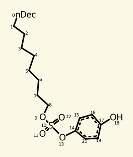 CCCCCCCCCCCCCCCCCCOS(=O)(=O)Oc1ccc(O)cc1